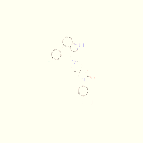 O=C(O)c1ccc(N2CC3(CCN(Cc4c[nH]c5cccc(-c6ccc(F)cc6)c45)CC3)OC2=O)cc1